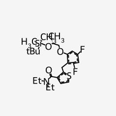 CCN(CC)C(=O)c1ccsc1Cc1c(F)cc(F)cc1OC[C@@H](C)O[Si](C)(C)C(C)(C)C